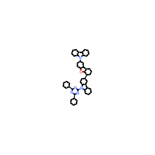 c1ccc(-c2nc(-c3ccccc3)nc(-n3c4ccccc4c4cc(-c5cccc6c5oc5ccc(-n7c8ccccc8c8ccccc87)cc56)ccc43)n2)cc1